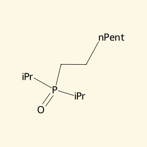 CCCCCCCP(=O)(C(C)C)C(C)C